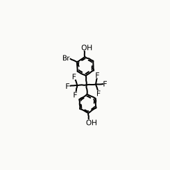 Oc1ccc(C(c2ccc(O)c(Br)c2)(C(F)(F)F)C(F)(F)F)cc1